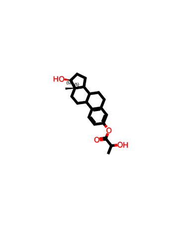 CC(O)C(=O)Oc1ccc2c(c1)CCC1C2CC[C@@]2(C)C1CC[C@@H]2O